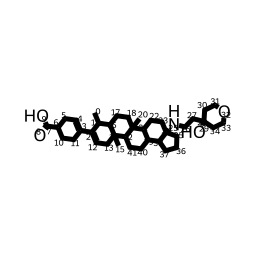 CC1C(C2=CCC(C(=O)O)CC2)=CCC2(C)C1CCC1(C)C3CCC4(NCCC5(O)CCOCC5)CCCC4C3CCC21